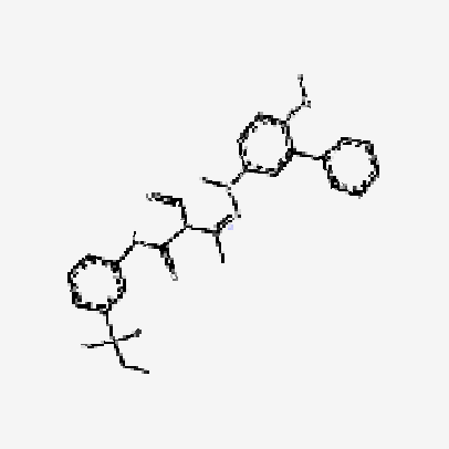 CCC(F)(F)c1cccc(NC(=O)C(C=O)/C(C)=N\N(C)c2ccc(OC)c(-c3ccccc3)c2)c1